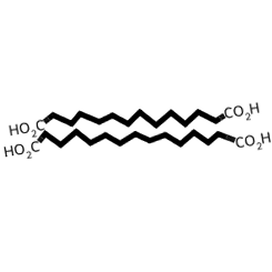 O=C(O)CCCCCCCCCCCCC(=O)O.O=C(O)CCCCCCCCCCCCCC(=O)O